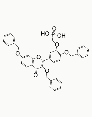 O=c1c(OCc2ccccc2)c(-c2ccc(OCc3ccccc3)c(OCP(=O)(O)O)c2)oc2cc(OCc3ccccc3)ccc12